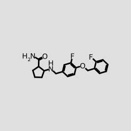 NC(=O)C1CCCC1NCc1ccc(OCc2ccccc2F)c(F)c1